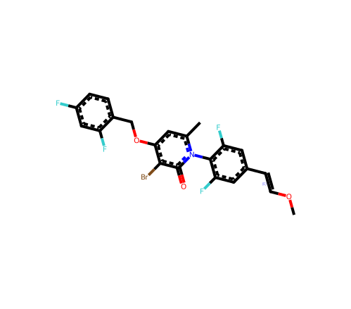 CO/C=C/c1cc(F)c(-n2c(C)cc(OCc3ccc(F)cc3F)c(Br)c2=O)c(F)c1